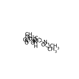 COc1ccc(S(=O)(=O)Nc2cc(-c3nc4cc(C)c(C)cc4o3)ccc2C)cc1[N+](=O)[O-]